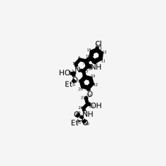 CCOC(O)N1CCc2c([nH]c3ccc(Cl)cc23)C1c1ccc(OCC(O)CNS(=O)(=O)CC)cc1